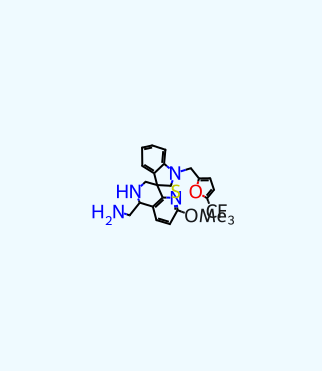 COc1ccc2c(n1)C1(CNC2CN)C(=S)N(Cc2ccc(C(F)(F)F)o2)c2ccccc21